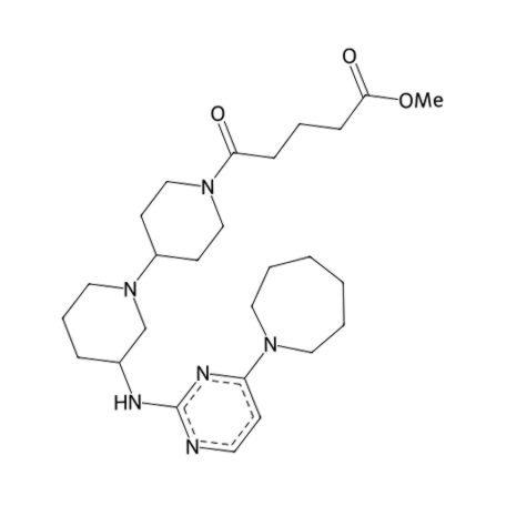 COC(=O)CCCC(=O)N1CCC(N2CCCC(Nc3nccc(N4CCCCCC4)n3)C2)CC1